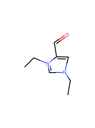 CCn1cc(C=O)[n+](CC)c1